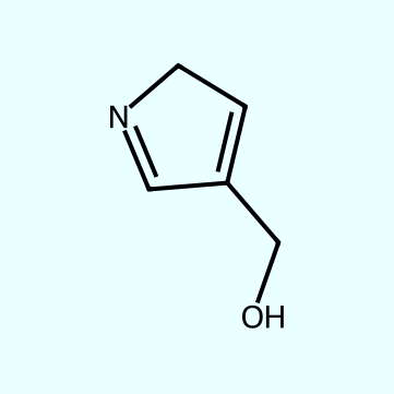 OCC1=CCN=C1